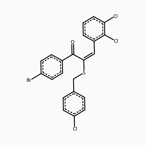 O=C(/C(=C\c1cccc(Cl)c1Cl)SCc1ccc(Cl)cc1)c1ccc(Br)cc1